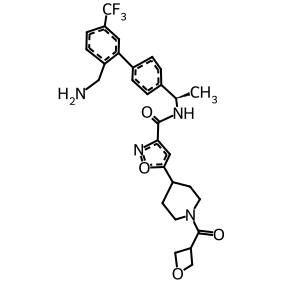 C[C@@H](NC(=O)c1cc(C2CCN(C(=O)C3COC3)CC2)on1)c1ccc(-c2cc(C(F)(F)F)ccc2CN)cc1